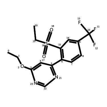 CCOc1cc(-c2ccc(C(F)(F)F)cc2S(=O)(=O)CC)ncn1